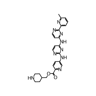 Cc1cccc(-c2nccc(Nc3ccnc(Nc4ccc(C(=O)OCC5CCNCC5)nc4)n3)n2)n1